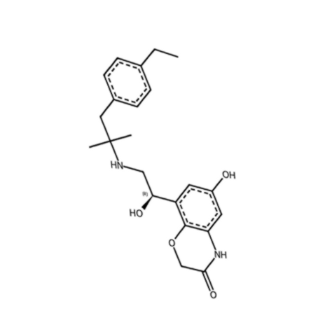 CCc1ccc(CC(C)(C)NC[C@H](O)c2cc(O)cc3c2OCC(=O)N3)cc1